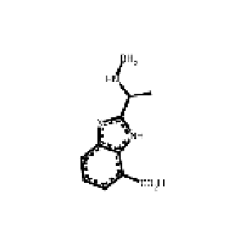 BN[C@@H](C)c1nc2cccc(C(=O)O)c2[nH]1